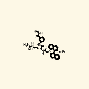 CCCOc1ccc2ccccc2c1-c1c(OCC(=O)N[C@H](CCCNC(=N)N)C(=O)Nc2cccc(C(=O)NO)c2)ccc2ccccc12